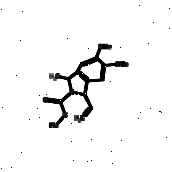 C=CC1c2cc(OC)c(OC)cc2C(C)N1C(=O)OC(C)(C)C